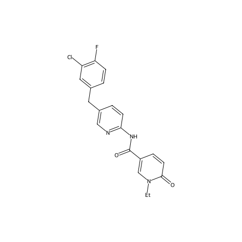 CCn1cc(C(=O)Nc2ccc(Cc3ccc(F)c(Cl)c3)cn2)ccc1=O